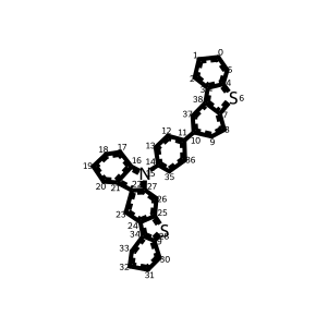 c1ccc2c(c1)sc1ccc(-c3ccc(-n4c5ccccc5c5cc6c(cc54)sc4ccccc46)cc3)cc12